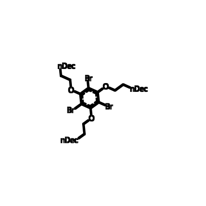 CCCCCCCCCCCCOc1c(Br)c(OCCCCCCCCCCCC)c(Br)c(OCCCCCCCCCCCC)c1Br